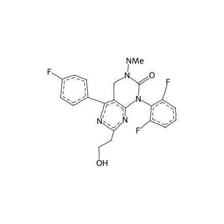 CNN1Cc2c(-c3ccc(F)cc3)nc(CCO)nc2N(c2c(F)cccc2F)C1=O